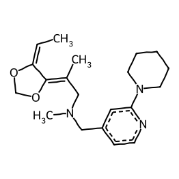 C/C=C1/OCO/C1=C(/C)CN(C)Cc1ccnc(N2CCCCC2)c1